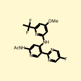 COc1cc(Nc2cc(NC(C)=O)ncc2-c2ncc(F)cn2)nc(C(C)(F)F)c1